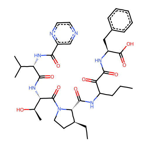 CCCC(NC(=O)[C@@H]1[C@@H](CC)CCN1C(=O)[C@@H](NC(=O)[C@@H](NC(=O)c1cnccn1)C(C)C)[C@@H](C)O)C(=O)C(=O)N[C@@H](Cc1ccccc1)C(=O)O